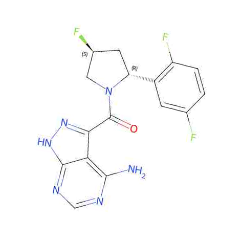 Nc1ncnc2[nH]nc(C(=O)N3C[C@@H](F)C[C@@H]3c3cc(F)ccc3F)c12